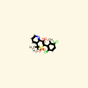 Cc1c(Cl)ccc(Cl)c1C1=C(O)c2ncccc2C(C)(C)S1(=O)=O